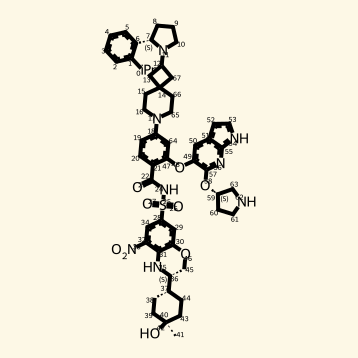 CC(C)c1ccccc1[C@@H]1CCCN1C1CC2(CCN(c3ccc(C(=O)NS(=O)(=O)c4cc5c(c([N+](=O)[O-])c4)N[C@@H]([C@H]4CC[C@](C)(O)CC4)CO5)c(Oc4cc5cc[nH]c5nc4O[C@H]4CCNC4)c3)CC2)C1